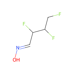 ON=CC(F)C(F)CF